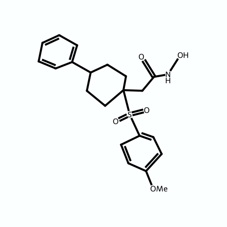 COc1ccc(S(=O)(=O)C2(CC(=O)NO)CCC(c3ccccc3)CC2)cc1